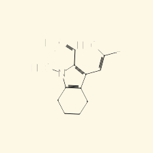 C=Cc1c(/C=C(\C)F)c2c(n1C)CCCC2